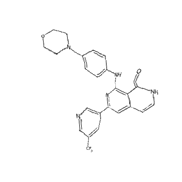 O=c1[nH]ccc2cc(-c3cncc(C(F)(F)F)c3)nc(Nc3ccc(N4CCOCC4)cc3)c12